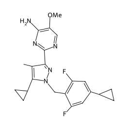 COc1cnc(-c2nn(Cc3c(F)cc(C4CC4)cc3F)c(C3CC3)c2C)nc1N